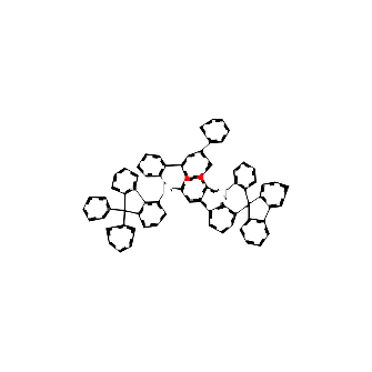 c1ccc(-c2cccc(-c3ccccc3N(c3ccc4c(c3)c3cccc5c3n4-c3ccccc3C53c4ccccc4-c4ccccc43)c3cccc4c3-c3ccccc3C4(c3ccccc3)c3ccccc3)c2)cc1